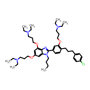 CCCCn1c(-c2ccc(CCCc3ccc(Cl)cc3)c(OCCCN(CC)CC)c2)nc2c(OCCCN(CC)CC)cc(OCCCN(CC)CC)cc21